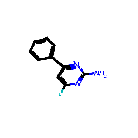 Nc1nc(F)cc(-c2ccccc2)n1